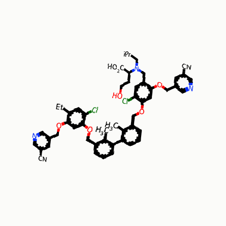 CCc1cc(Cl)c(OCc2cccc(-c3cccc(COc4cc(OCc5cncc(C#N)c5)c(CN(CC(C)C)C(CCO)C(=O)O)cc4Cl)c3C)c2C)cc1OCc1cncc(C#N)c1